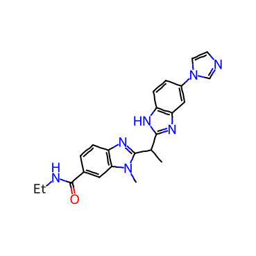 CCNC(=O)c1ccc2nc(C(C)c3nc4cc(-n5ccnc5)ccc4[nH]3)n(C)c2c1